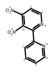 O=[N+]([O-])c1ccnc(-c2ccccn2)c1[N+](=O)[O-]